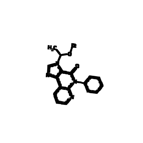 CCOC(C)n1cnc2c3cccnc3n(-c3ccccc3)c(=O)c21